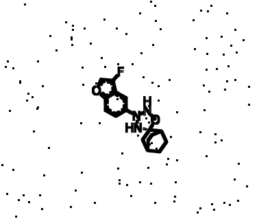 Fc1coc2ccc(N3NO[C@@]4(CC5CCC4CC5)N3)cc12